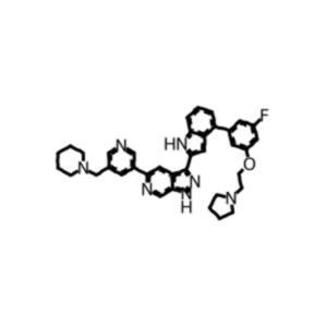 Fc1cc(OCCN2CCCC2)cc(-c2cccc3[nH]c(-c4n[nH]c5cnc(-c6cncc(CN7CCCCC7)c6)cc45)cc23)c1